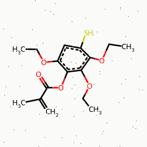 C=C(C)C(=O)Oc1c(OCC)cc(S)c(OCC)c1OCC